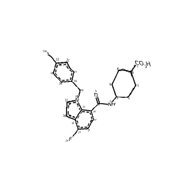 O=C(NC1CCC(C(=O)O)CC1)c1ccc(F)c2ccn(Cc3ccc(I)cc3)c12